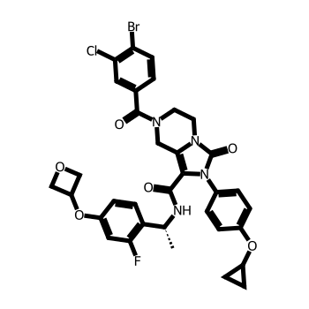 C[C@@H](NC(=O)c1c2n(c(=O)n1-c1ccc(OC3CC3)cc1)CCN(C(=O)c1ccc(Br)c(Cl)c1)C2)c1ccc(OC2COC2)cc1F